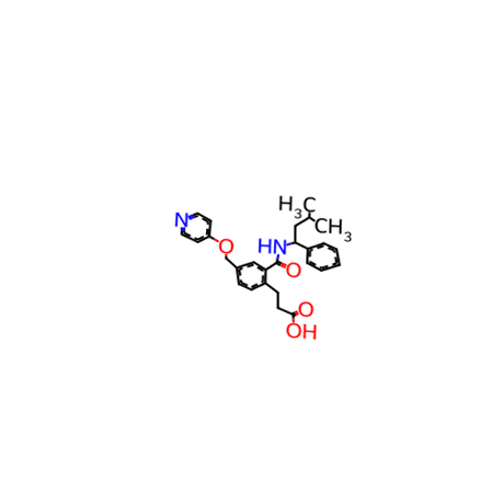 CC(C)CC(NC(=O)c1cc(COc2ccncc2)ccc1CCC(=O)O)c1ccccc1